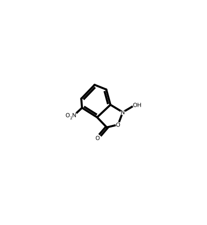 O=c1on(O)c2cccc([N+](=O)[O-])c12